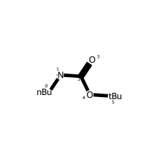 CCCC[N]C(=O)OC(C)(C)C